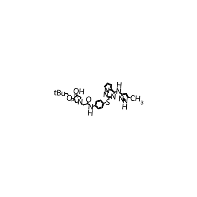 Cc1cc(Nc2nc(Sc3ccc(NC(=O)CN4C[C@H](OCC(C)(C)C)[C@@H](O)C4)cc3)nn3cccc23)n[nH]1